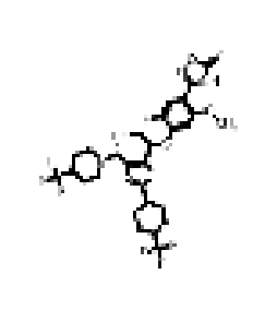 CCC(Oc1cc(OC)c(-c2noc(=O)[nH]2)cc1F)c1sc(C2CCC(C(F)(F)F)CC2)nc1CN1CCC(C(F)(F)F)CC1